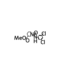 COC(=O)C1CCCN(C(=O)Nc2cc(Cl)cc(Cl)c2)C1